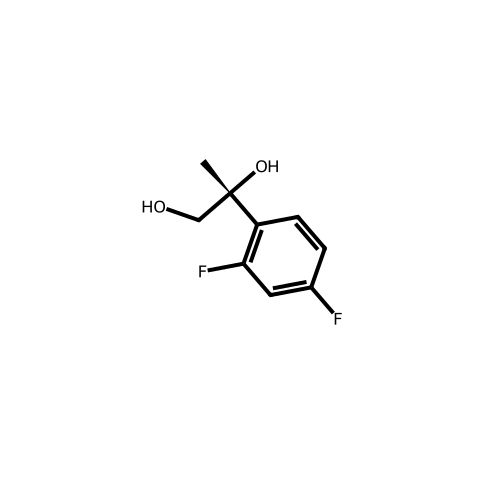 C[C@](O)(CO)c1ccc(F)cc1F